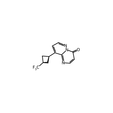 O=c1ccnc2c(C34CC(C(F)(F)F)(C3)C4)ccnn12